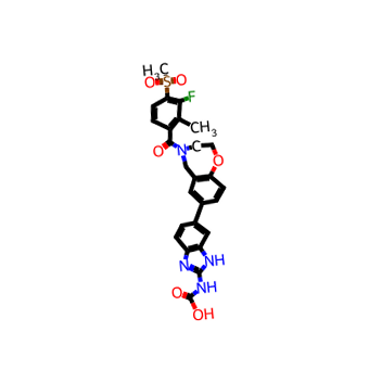 Cc1c(C(=O)N2CCOc3ccc(-c4ccc5nc(NC(=O)O)[nH]c5c4)cc3C2)ccc(S(C)(=O)=O)c1F